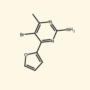 Cc1nc(N)nc(-c2ccco2)c1Br